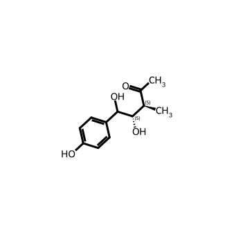 CC(=O)[C@@H](C)[C@H](O)C(O)c1ccc(O)cc1